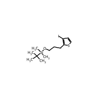 CC(C)(C)[Si](C)(C)OCC[CH]c1sccc1I